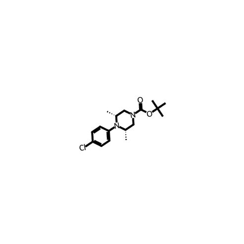 C[C@@H]1CN(C(=O)OC(C)(C)C)C[C@H](C)N1c1ccc(Cl)cc1